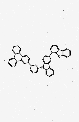 C1=CC(c2ccc3c4c(c5ccccc5c3c2)=CCCC=4)CC(n2c3ccccc3c3cc(-c4cccc5c4sc4ccccc45)ccc32)=C1